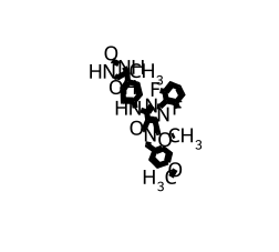 COc1ccc(CN2Cc3nc(-c4c(F)cccc4F)nc(Nc4ccc(C5(C)NC(=O)NC5O)cc4)c3C2=O)c(OC)c1